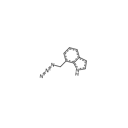 [N-]=[N+]=NCc1cccc2cc[nH]c12